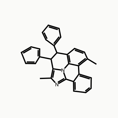 Cc1nc2c3ccccc3c3c(C)ccc4c3n2c1C(c1ccccc1)C4c1ccccc1